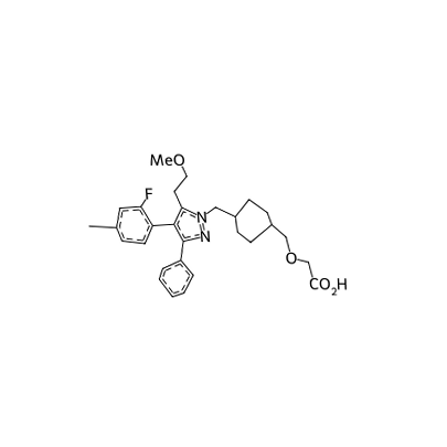 COCCc1c(-c2ccc(C)cc2F)c(-c2ccccc2)nn1CC1CCC(COCC(=O)O)CC1